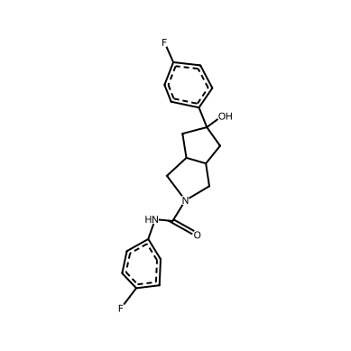 O=C(Nc1ccc(F)cc1)N1CC2CC(O)(c3ccc(F)cc3)CC2C1